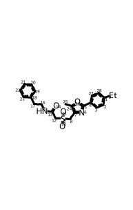 CCc1ccc(-c2nc(CS(=O)(=O)CC(=O)NCCc3ccccc3)c(C)o2)cc1